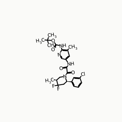 Cc1cc(NC(=O)C(=O)N2C[C@H](C)C(F)(F)C[C@@H]2c2cccc(Cl)c2)cnc1NC(=O)OC(C)(C)C